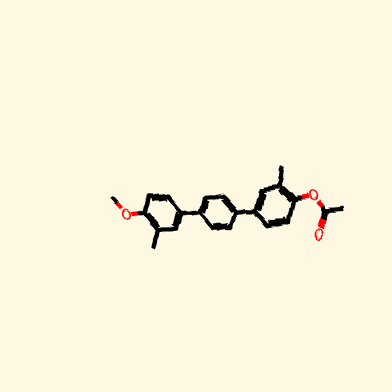 COc1ccc(-c2ccc(-c3ccc(OC(C)=O)c(C)c3)cc2)cc1C